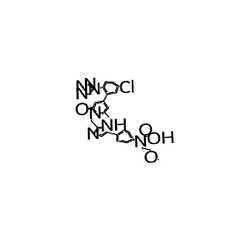 COCCN(C(=O)O)c1ccc(-c2cnc(Cn3c(C)cc(-c4cc(Cl)ccc4-n4cnnn4)cc3=O)[nH]2)cc1